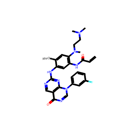 C=CC(=O)Nc1cc(Nc2ncc3c(=O)ncn(-c4cccc(F)c4)c3n2)c(OC)cc1N(C)CCN(C)C